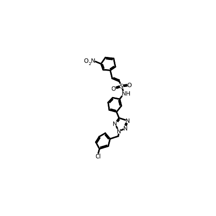 O=[N+]([O-])c1cccc(/C=C/S(=O)(=O)Nc2cccc(-c3nnn(Cc4cccc(Cl)c4)n3)c2)c1